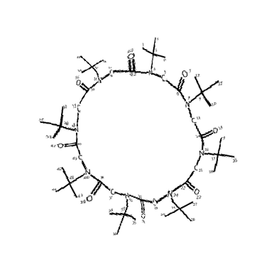 CC(C)(C)N1CC(=O)N(C(C)(C)C)CC(=O)N(C(C)(C)C)CC(=O)N(C(C)(C)C)CC(=O)N(C(C)(C)C)CC(=O)N(C(C)(C)C)CC(=O)N(C(C)(C)C)CC(=O)N(C(C)(C)C)CC1=O